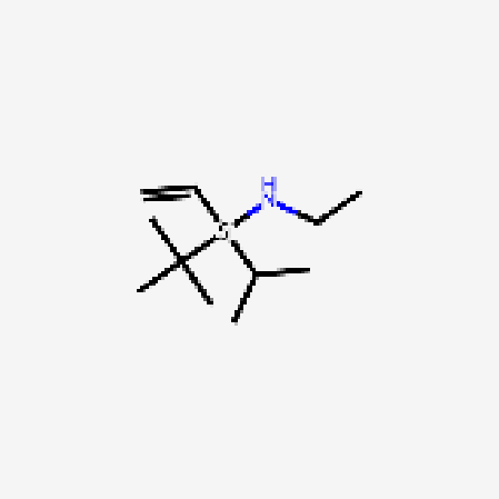 C=C[Si](NCC)(C(C)C)C(C)(C)C